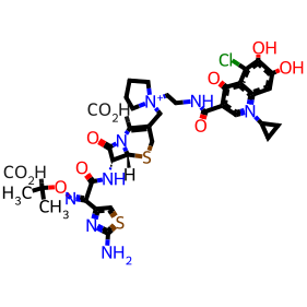 CC(C)(O/N=C(\C(=O)N[C@@H]1C(=O)N2C(C(=O)O)=C(C[N+]3(CCNC(=O)c4cn(C5CC5)c5cc(O)c(O)c(Cl)c5c4=O)CCCC3)CS[C@H]12)c1csc(N)n1)C(=O)O